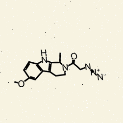 COc1ccc2[nH]c3c(c2c1)CCN(C(=O)CN=[N+]=[N-])C3C